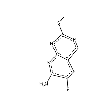 CSc1ncc2cc(F)c(N)nc2n1